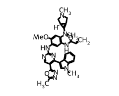 C=CC(=O)Nc1cc(Nc2ncc(-c3nnc(C)o3)c(-c3cn(C)c4ccccc34)n2)c(OC)cc1N(C)C1=C2CN(C)C[C@@H]21